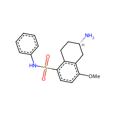 COc1ccc(S(=O)(=O)Nc2ccccc2)c2c1C[C@@H](N)CC2